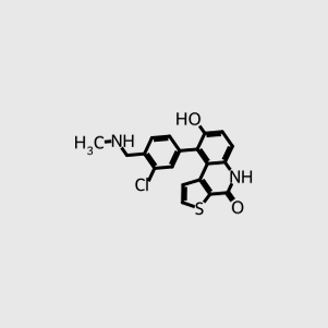 CNCc1ccc(-c2c(O)ccc3[nH]c(=O)c4sccc4c23)cc1Cl